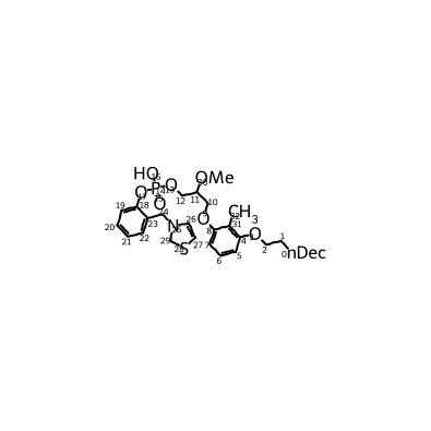 CCCCCCCCCCCCOc1cccc(OCC(COP(=O)(O)Oc2ccccc2CN2C=CSC2)OC)c1C